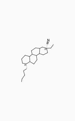 CCCCC[C@@H]1CCCC2C3CCC4C[C@@](C#N)(CC)CCC4C3CCC21